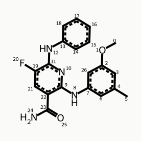 COc1cc(C)cc(Nc2nc(Nc3ccccc3)c(F)cc2C(N)=O)c1